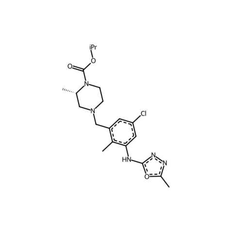 Cc1nnc(Nc2cc(Cl)cc(CN3CCN(C(=O)OC(C)C)[C@@H](C)C3)c2C)o1